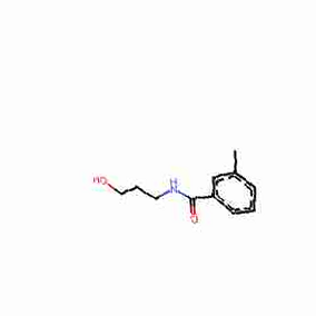 Cc1cccc(C(=O)NCCCO)c1